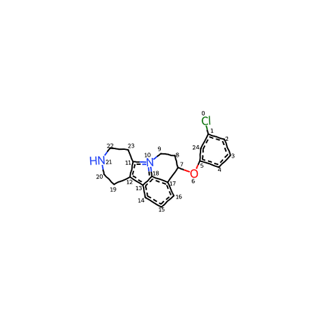 Clc1cccc(OC2CCn3c4c(c5cccc2c53)CCNCC4)c1